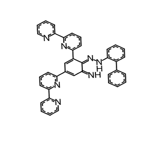 N=C1C=C(c2cccc(-c3ccccn3)n2)C=C(c2cccc(-c3ccccn3)n2)/C1=N/Nc1ccccc1-c1ccccc1